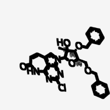 C[C@]1(O)C(n2cc3c4c(nc(Cl)nc42)NC(=O)C=C3)O[C@H](COCc2ccccc2)[C@H]1OCc1ccccc1